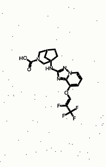 O=C(O)N1CC2CCC(Nc3nc4c(O/C=C(\F)C(F)(F)F)cccn4n3)(C2)C1